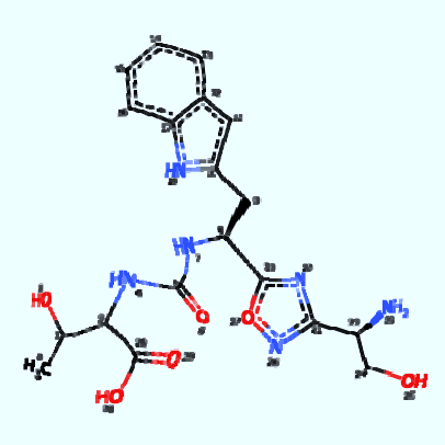 CC(O)C(NC(=O)N[C@@H](Cc1cc2ccccc2[nH]1)c1nc([C@@H](N)CO)no1)C(=O)O